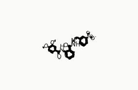 COc1ccc(C(=O)Nc2ccccc2C(=O)N/N=C\c2cccc([N+](=O)[O-])c2)cc1OC